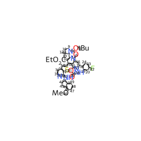 CCOC(=O)c1c([C@H]2N(C(=O)OC(C)(C)C)CCC2(C)C)nc(CCc2ccc(F)cc2)c(-c2n[nH]c(=O)o2)c1-c1cc2ccnc(N[C@@H]3CCc4c(OC)cccc43)c2s1